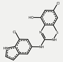 Oc1cc(Cl)cc2c1N=C(Nc1cc(Cl)c3[nH]ccc3c1)NS2